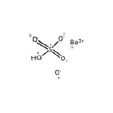 O=S(=O)([O-])O.[Ba+2].[Cl-]